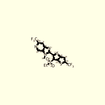 CCS(=O)(=O)c1c(-c2nc3cc(C(F)(F)F)ncc3n2C)sc2cc(C(F)(F)F)sc12